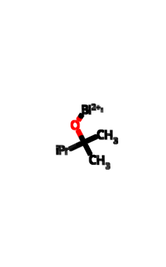 CC(C)C(C)(C)[O][Bi+2]